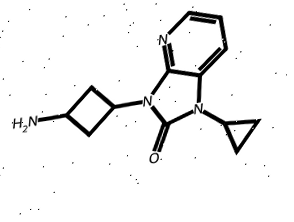 NC1CC(n2c(=O)n(C3CC3)c3cccnc32)C1